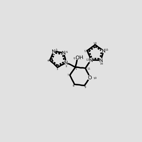 OC1(n2ccnn2)CCCOC1n1ccnn1